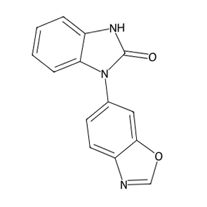 O=c1[nH]c2ccccc2n1-c1ccc2ncoc2c1